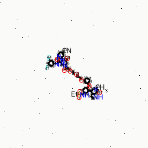 CCS(=O)(=O)Nc1ccc(Oc2cccc(OCCOCCOCC(=O)N3CC(=O)N(c4cc(C#N)ccn4)C(C(=O)Nc4cc(F)cc(F)c4)C3)c2)c(-c2cn(C)c(=O)c3[nH]ccc23)c1